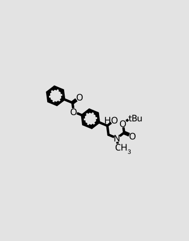 CN(CC(O)c1ccc(OC(=O)c2ccccc2)cc1)C(=O)OC(C)(C)C